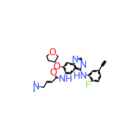 C#Cc1ccc(F)c(Nc2ncnc3cc(O[C@H]4CCOC4)c(NC(=O)/C=C/CN(C)C)cc23)c1